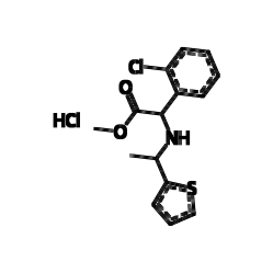 COC(=O)C(NC(C)c1cccs1)c1ccccc1Cl.Cl